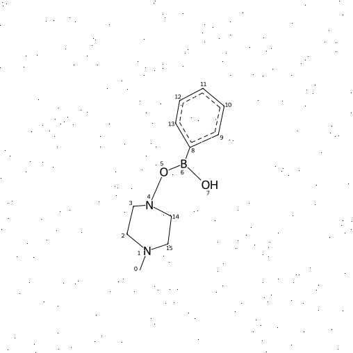 CN1CCN(OB(O)c2ccccc2)CC1